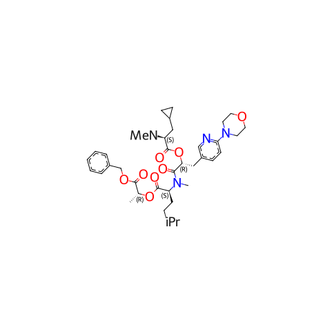 CN[C@@H](CC1CC1)C(=O)O[C@H](Cc1ccc(N2CCOCC2)nc1)C(=O)N(C)[C@@H](CCC(C)C)C(=O)O[C@H](C)C(=O)OCc1ccccc1